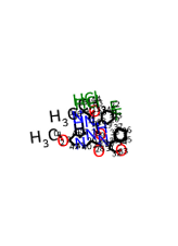 CCOC1C[C@@H]2CN(C(=O)[C@@H](NC(=O)[C@H](C)NC)C3CCC(F)(F)CC3)C(C(=O)N[C@@H]3CCOc4ccccc43)CN2C1.Cl.Cl